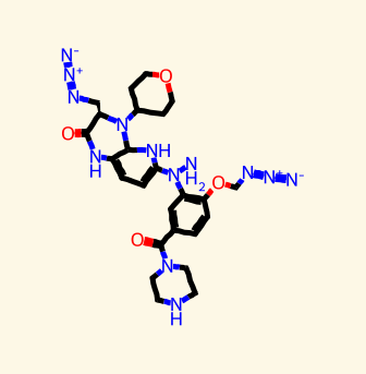 [N-]=[N+]=NCOc1ccc(C(=O)N2CCNCC2)cc1N(N)C1=CC=C2NC(=O)[C@@H](CN=[N+]=[N-])N(C3CCOCC3)C2N1